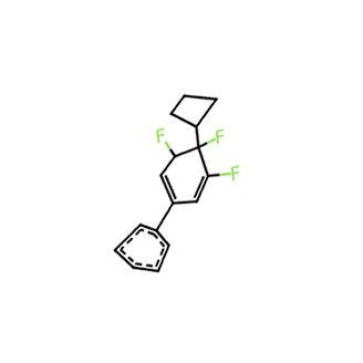 FC1=CC(c2ccccc2)=CC(F)C1(F)C1CCC1